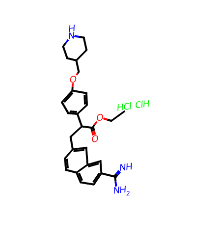 CCOC(=O)C(Cc1ccc2ccc(C(=N)N)cc2c1)c1ccc(OCC2CCNCC2)cc1.Cl.Cl